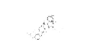 CC1CC(=O)Nc2ncnc(N3CCN(C(=O)C(CN(C(=O)O)C4CC4)c4ccc(Cl)cc4)[C@@H]4C[C@@H]43)c21